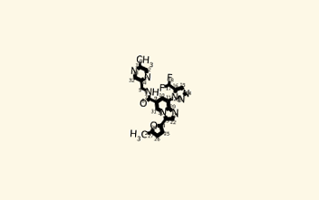 Cc1cnc(CNC(=O)c2cc(-n3nncc3C(F)F)c3ncc(-c4ccc(C)o4)n3c2)cn1